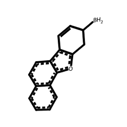 BC1C=Cc2c(oc3c2ccc2ccccc23)C1